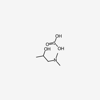 CC(O)CN(C)C.O=S(O)O